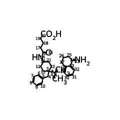 CN(C)C1(Cc2ccccc2)CCC(NC(=O)CCCC(=O)O)CC1.NC1CCCc2ccccc21